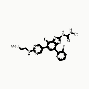 CCNC(=O)Nc1nc2c(F)c(-c3cnc(NCCOC)nc3)cc(-c3ncccc3F)c2s1